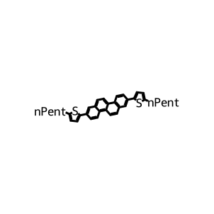 CCCCCc1ccc(-c2ccc3c(ccc4c5ccc(-c6ccc(CCCCC)s6)cc5ccc34)c2)s1